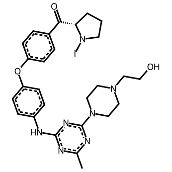 Cc1nc(Nc2ccc(Oc3ccc(C(=O)[C@@H]4CCCN4I)cc3)cc2)nc(N2CCN(CCO)CC2)n1